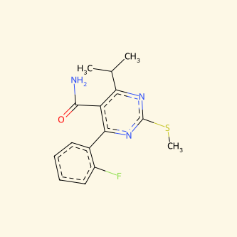 CSc1nc(-c2ccccc2F)c(C(N)=O)c(C(C)C)n1